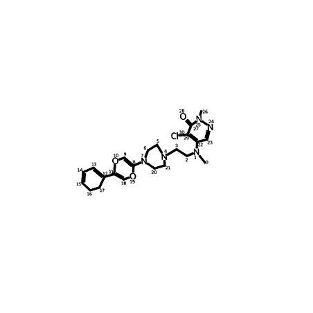 CN(CCN1CCN(C2=COC(C3=CC=CCC3)=CO2)CC1)c1cnn(C)c(=O)c1Cl